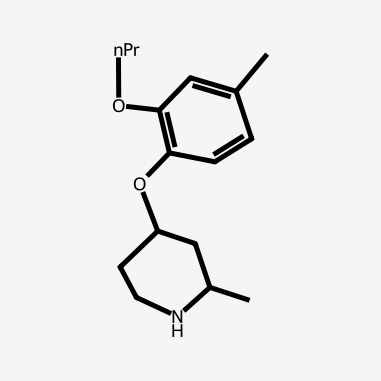 CCCOc1cc(C)ccc1OC1CCNC(C)C1